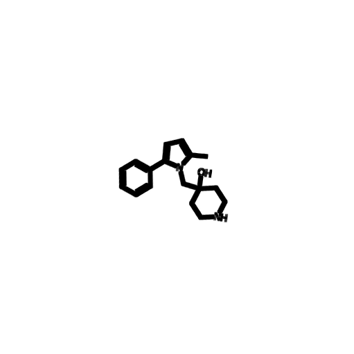 Cc1ccc(-c2ccccc2)n1CC1(O)CCNCC1